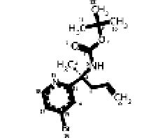 C=CC[C@](C)(NC(=O)OC(C)(C)C)c1cc(Br)ccn1